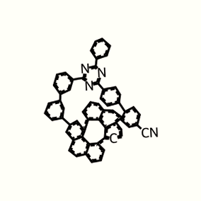 N#Cc1ccc(-c2ccc(-c3nc(-c4ccccc4)nc(-c4cccc(-c5cccc(-c6cc7ccc8cccc9c%10cccc%11ccc%12cccc(c(c6)c7c89)c%12c%11%10)c5)c4)n3)cc2)cc1